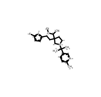 CCOC(C#N)C1(CCc2ccc(F)s2)CCN(C(C)(C)c2ccc(C)nc2)C1